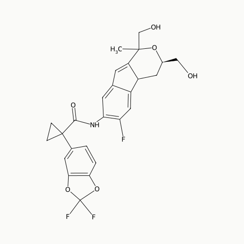 CC1(CO)O[C@@H](CO)CC2C1=Cc1cc(NC(=O)C3(c4ccc5c(c4)OC(F)(F)O5)CC3)c(F)cc12